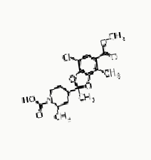 COC(=O)c1cc(Cl)c2c(c1C)OC(C)(C1CCN(C(=O)O)C(C)C1)O2